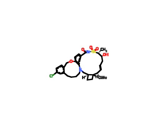 CO[C@H]1/C=C/C[C@@H](O)[C@@H](C)S(=O)(=O)NC(=O)c2ccc3c(c2)N(CCCCc2cc(Cl)ccc2CO3)C[C@@H]2CC[C@H]21